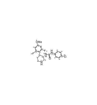 COc1cc(F)c(C2CCNC[C@H]2NC(=O)Nc2ccc(Cl)cc2)c(F)c1